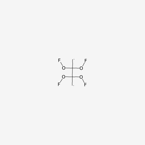 [CH2]C(OF)(OF)C([CH2])(OF)OF